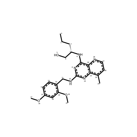 CCC[C@@H](CO)Nc1nc(NCc2ccc(OC)cc2OC)nc2c(C)ccnc12